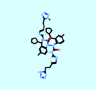 Cc1ccc(N(C(=O)Nc2ncc(CCc3nnn[nH]3)s2)N(C(=O)Nc2ncc(CCc3nnnn3C)s2)c2ccc(C)cc2C(=O)C2CCCC2)c(C(=O)C2CCCC2)c1